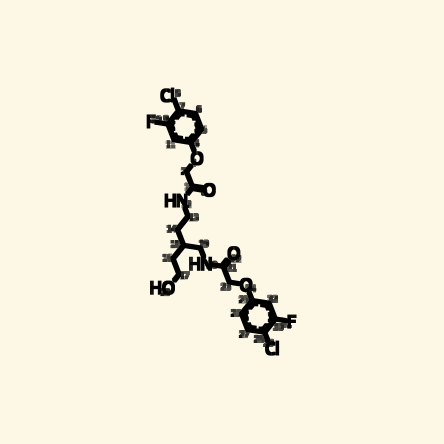 O=C(COc1ccc(Cl)c(F)c1)NCCC(CCO)CNC(=O)COc1ccc(Cl)c(F)c1